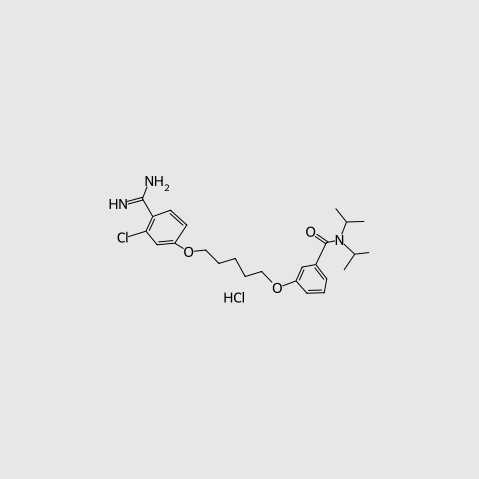 CC(C)N(C(=O)c1cccc(OCCCCCOc2ccc(C(=N)N)c(Cl)c2)c1)C(C)C.Cl